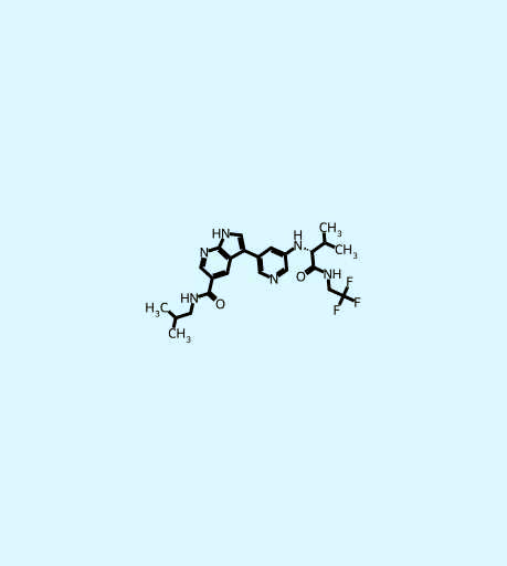 CC(C)CNC(=O)c1cnc2[nH]cc(-c3cncc(N[C@@H](C(=O)NCC(F)(F)F)C(C)C)c3)c2c1